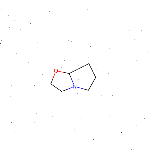 C1CC2OCCN2C1